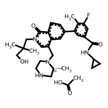 CC(=O)O.Cc1c(F)cc(C(=O)NC2CC2)cc1-c1ccc2c(=O)n(CC(C)(C)CO)cc(CN3CCNC[C@H]3C)c2c1